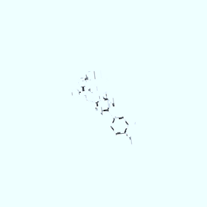 COS(=O)(=O)Cc1nc(-c2ccc(I)cc2)no1